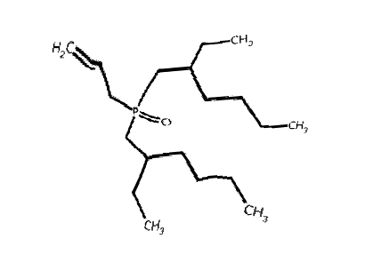 C=CCP(=O)(CC(CC)CCCC)CC(CC)CCCC